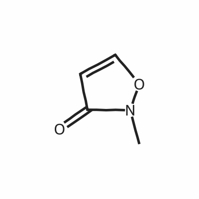 Cn1occc1=O